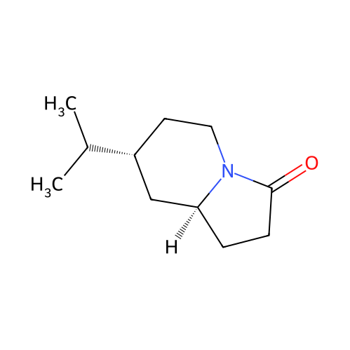 CC(C)[C@@H]1CCN2C(=O)CC[C@H]2C1